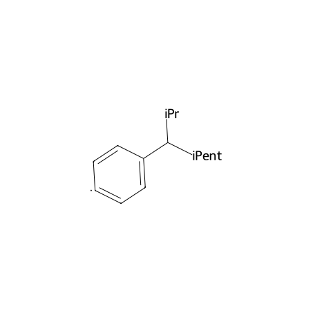 CCCC(C)C(c1cc[c]cc1)C(C)C